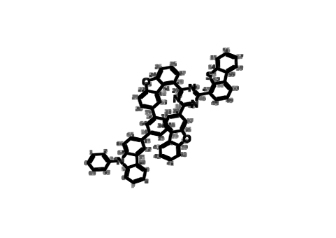 c1ccc(-n2c3ccccc3c3cc(-c4cccc(-c5ccc6oc7cccc(-c8nc(-c9ccc%10c(c9)oc9ccccc9%10)nc(-c9cccc%10c9sc9ccccc9%10)n8)c7c6c5)c4)ccc32)cc1